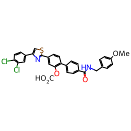 COc1ccc(CNC(=O)c2ccc(-c3ccc(-c4nc(-c5ccc(Cl)c(Cl)c5)cs4)cc3OC(=O)O)cc2)cc1